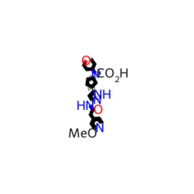 COc1cc(CC(=O)Nc2cc([C@@H]3CC[C@H](N(C(=O)O)C4CCOCC4)C3)[nH]n2)ccn1